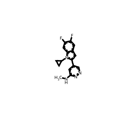 CNc1cc(-c2cc3cc(F)c(F)cc3n2C2CC2)cnn1